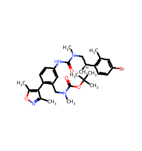 Cc1cc(Br)ccc1[C@@H](C)CN(C)C(=O)Nc1ccc(-c2c(C)noc2C)c(CN(C)C(=O)OC(C)(C)C)c1